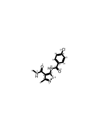 CNC(=O)c1c(C)nsc1NC(=O)c1ccc(Cl)cc1